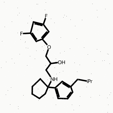 CC(C)Cc1cccc(C2(NCC(O)COc3cc(F)cc(F)c3)CCCCC2)c1